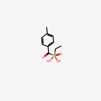 CCS(=O)(O)(O)C(=O)c1ccc(C)cc1